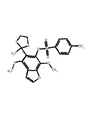 COc1c(C2(C)SCCS2)c(OS(=O)(=O)c2ccc(C)cc2)c(OC)c2occc12